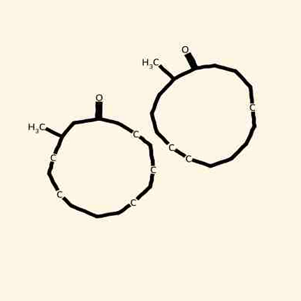 CC1CCCCCCCCCCCCC(=O)C1.CC1CCCCCCCCCCCCCC1=O